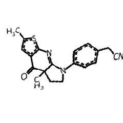 Cc1cc2c(s1)N=C1N(c3ccc(CC#N)cc3)CCC1(C)C2=O